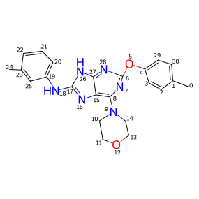 Cc1ccc(Oc2nc(N3CCOCC3)c3nc(Nc4cccc(C)c4)[nH]c3n2)cc1